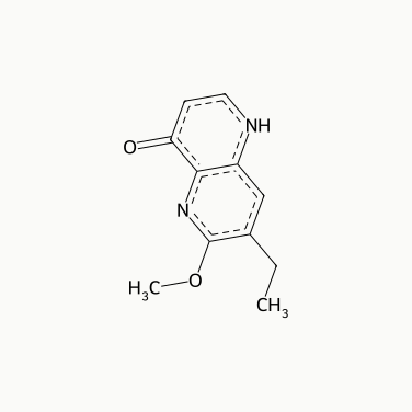 CCc1cc2[nH]ccc(=O)c2nc1OC